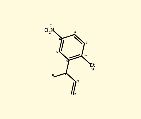 [CH2]C(C=C)c1cc([N+](=O)[O-])ccc1CC